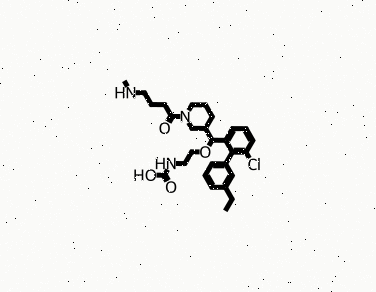 CCc1cccc(-c2c(Cl)cccc2C(OCCNC(=O)O)C2CCCN(C(=O)CCCNC)C2)c1